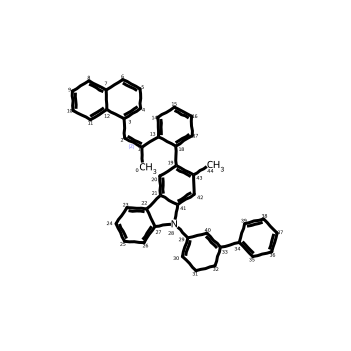 C/C(=C/c1cccc2ccccc12)c1ccccc1-c1cc2c3ccccc3n(C3=CCCC(c4ccccc4)=C3)c2cc1C